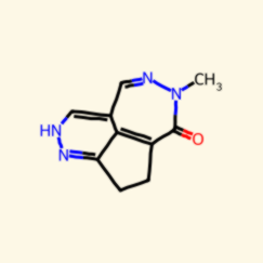 CN1N=CC2=CNN=C3CCC(=C23)C1=O